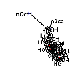 CCCCCCCC/C=C\CCCCCCCCCCCCCCCC(=O)N[C@@H](CO[C@@H]1OC(CO)[C@@H](O[C@@H]2OC(CO)[C@H](O[C@@H]3OC(CO)[C@H](O)[C@H](O[C@@H]4OC(CO)[C@H](O)[C@H](O[C@@H]5OC(CO)[C@@H](O[C@@H]6OC(CO)[C@H](O)[C@H](O)C6O)[C@H](O[C@H]6OC(C)[C@@H](O)C(O)[C@@H]6O)C5NC(C)=O)C4O)C3NC(C)=O)[C@H](O[C@]3(C(=O)O)CC(O)[C@@H](NC(C)=O)C([C@H](O)[C@H](O)CO)O3)C2O)[C@H](O)C1O)[C@H](O)/C=C/CCCCCCCCCCCCC